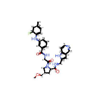 COC[C@@H]1CC(C(=O)NCc2cc3cnccc3[nH]2)N(C(=O)CNC(=O)c2cccc(NC3=CC=C(C)CC3F)c2)C1